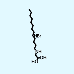 Br.CCCCCCCCCCCCCNCC(O)O